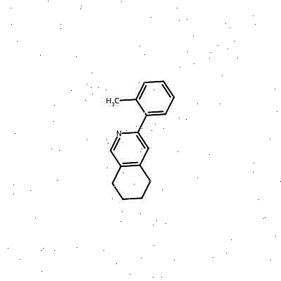 Cc1ccccc1-c1cc2c(cn1)CCCC2